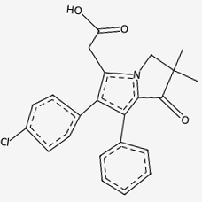 CC1(C)Cn2c(CC(=O)O)c(-c3ccc(Cl)cc3)c(-c3ccccc3)c2C1=O